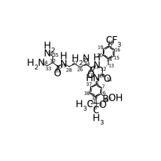 CC1(C)OB(O)c2cc(NC(=O)[C@@H](Cc3ccc(C(F)(F)F)cc3)NC(=O)[C@@H](N)CCCNC(=O)C(CN)CN)ccc21